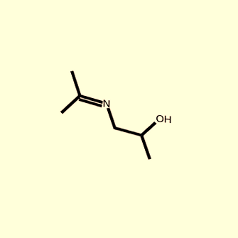 CC(C)=NCC(C)O